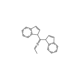 C[CH]=[Ti]=[C](C1C=Cc2ccccc21)C1C=Cc2ccccc21